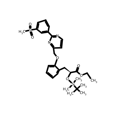 CCOC(=O)[C@H](Cc1ccccc1OCc1ccnc(-c2cccc(S(C)(=O)=O)c2)n1)O[Si](C)(C)C(C)(C)C